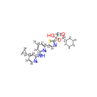 CCC(O)(OC(=O)C1CCCCC1)c1ncc(-c2cc(C)cc(Nc3cc(C4CC4)ccn3)n2)s1